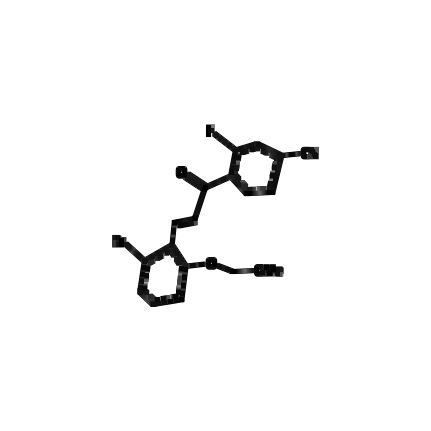 COCOc1cccc(Br)c1/C=C/C(=O)c1ccc(C#N)cc1F